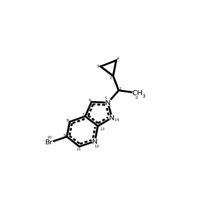 CC(C1CC1)n1cc2cc(Br)cnc2n1